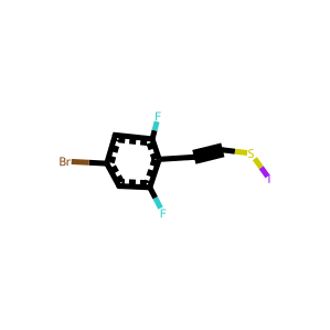 Fc1cc(Br)cc(F)c1C#CSI